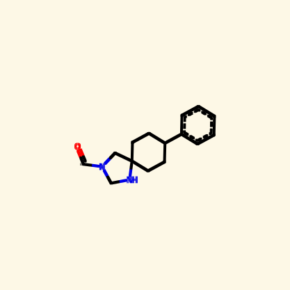 O=[C]N1CNC2(CCC(c3ccccc3)CC2)C1